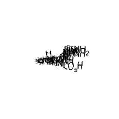 CC[C@H](C)[C@@H](C(=O)N[C@@H](CC(=O)O)C(=O)N[C@@H](CCCNC(=N)N)C(=O)NCC(C)C)N1CC[C@@H](NC(=O)Cc2ccccc2)C1=O